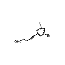 O=CCCC#Cc1cc(F)cc(Br)c1